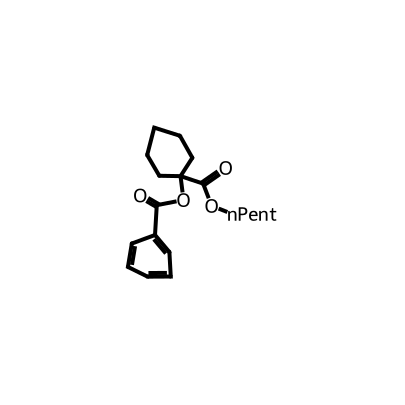 CCCCCOC(=O)C1(OC(=O)c2ccccc2)CCCCC1